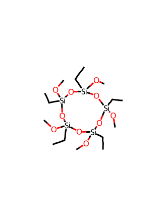 CC[Si]1(OC)O[Si](CC)(OC)O[Si](CC)(OC)O[Si](CC)(OC)O[Si](CC)(OC)O1